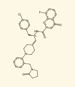 O=C(N[C@@H](C=C1CCN(c2ccccc2CN2CCCC2=O)CC1)Cc1ccc(Cl)cc1)c1cc(=O)c2cccc(F)c2o1